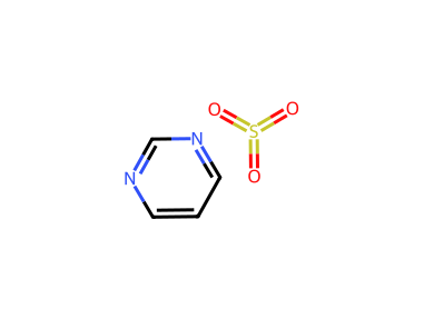 O=S(=O)=O.c1cncnc1